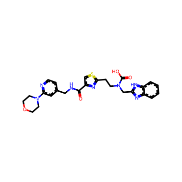 O=C(NCc1ccnc(N2CCOCC2)c1)c1csc(CCN(Cc2nc3ccccc3[nH]2)C(=O)O)n1